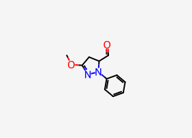 COC1=NN(c2ccccc2)C(C=O)C1